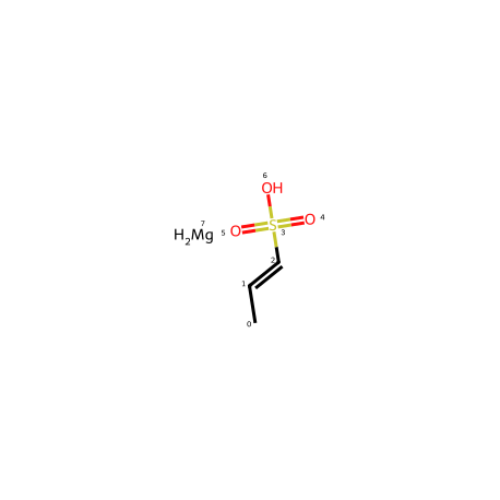 CC=CS(=O)(=O)O.[MgH2]